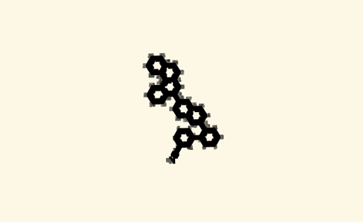 N#Cc1cccc(-c2ccccc2-c2ccc3cc(-c4cc5ccc6ccccc6c5c5ccccc45)ccc3c2)c1